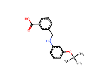 C[Si](C)(C)Oc1cccc(NCc2cccc(C(=O)O)c2)c1